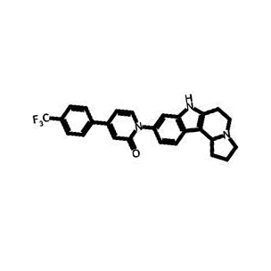 O=c1cc(-c2ccc(C(F)(F)F)cc2)ccn1-c1ccc2c3c([nH]c2c1)CCN1CCCC31